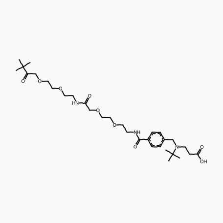 CC(C)(C)C(=O)COCCOCCNC(=O)COCCOCCNC(=O)c1ccc(CN(CCC(=O)O)C(C)(C)C)cc1